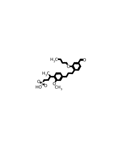 CCCCOc1cc(C=O)ccc1CCCc1ccc(C(C)CCS(=O)(=O)O)c(OC)c1